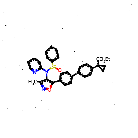 CCOC(=O)C1(c2ccc(-c3ccc(-c4onc(C)c4N(c4ccccn4)[S+]([O-])c4ccccc4)cc3)cc2)CC1